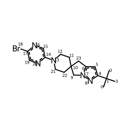 CC(C)(C)c1cc2n(n1)CC1(CCN(c3cnc(Br)cn3)CC1)C2